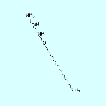 CCCCCCCCCCCCCCCCCCCCOCCCNCCCNCCCN